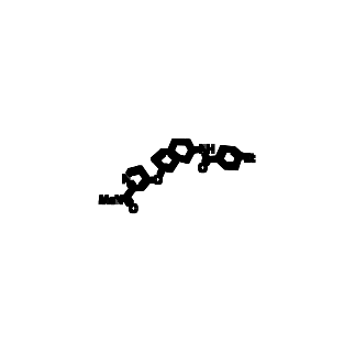 CCc1ccc(C(=O)NC2CCc3ccc(Oc4ccnc(C(=O)NC)c4)cc3C2)cc1